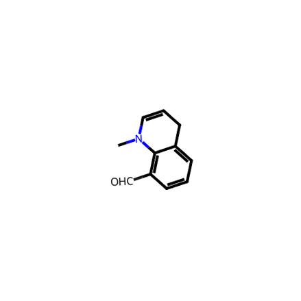 CN1C=CCc2cccc(C=O)c21